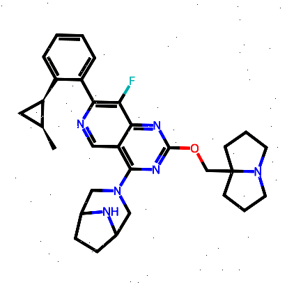 C[C@H]1C[C@H]1c1ccccc1-c1ncc2c(N3CC4CCC(C3)N4)nc(OCC34CCCN3CCC4)nc2c1F